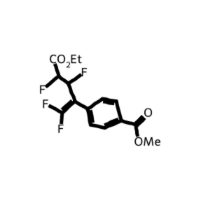 CCOC(=O)C(F)C(F)C(=C(F)F)c1ccc(C(=O)OC)cc1